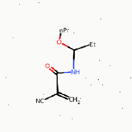 C=C(C#N)C(=O)NC(CC)OCCC